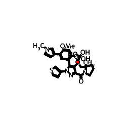 COc1cc2c(cc1-c1ccn(C)c1)-c1c(c(C(=O)N3CCCC3(C)COC(O)(O)O)nn1-c1ccsc1)CO2